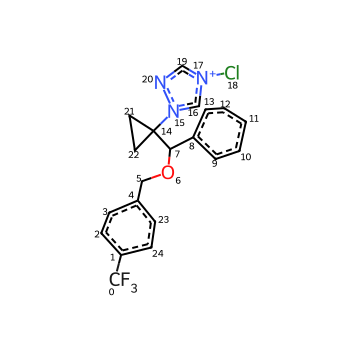 FC(F)(F)c1ccc(COC(c2ccccc2)C2(n3c[n+](Cl)cn3)CC2)cc1